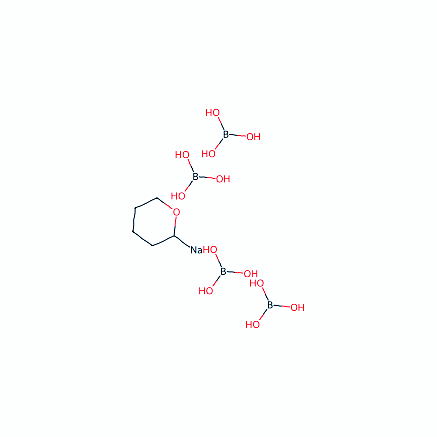 OB(O)O.OB(O)O.OB(O)O.OB(O)O.[Na][CH]1CCCCO1